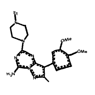 CCN1CCN(c2nc(N)n3nc(C)c(-c4ccc(OC)c(OC)c4)c3n2)CC1